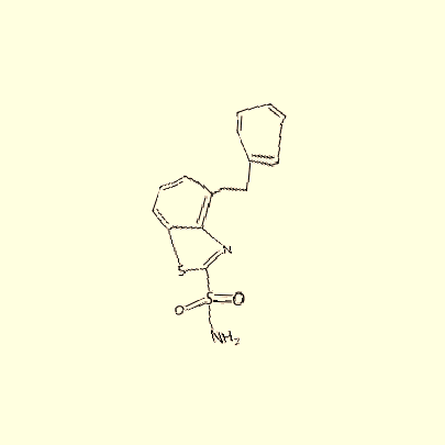 NS(=O)(=O)c1nc2c(Cc3ccccc3)cccc2s1